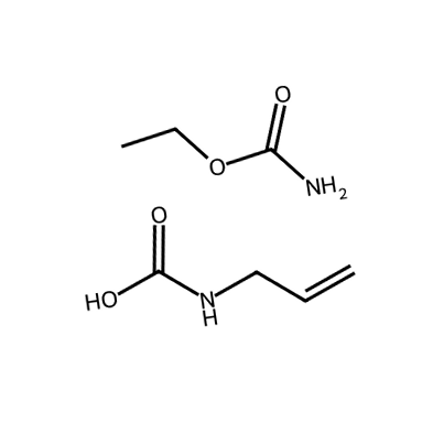 C=CCNC(=O)O.CCOC(N)=O